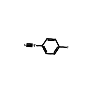 N#[N+]c1ccc(F)cc1